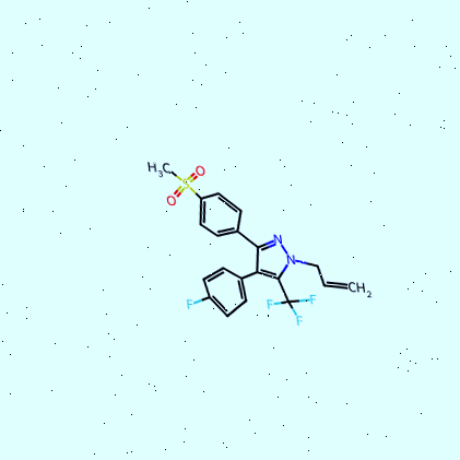 C=CCn1nc(-c2ccc(S(C)(=O)=O)cc2)c(-c2ccc(F)cc2)c1C(F)(F)F